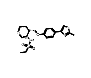 CCS(=O)(=O)N[C@H]1COCC[C@@H]1COc1ccc(-c2csc(C)n2)cc1